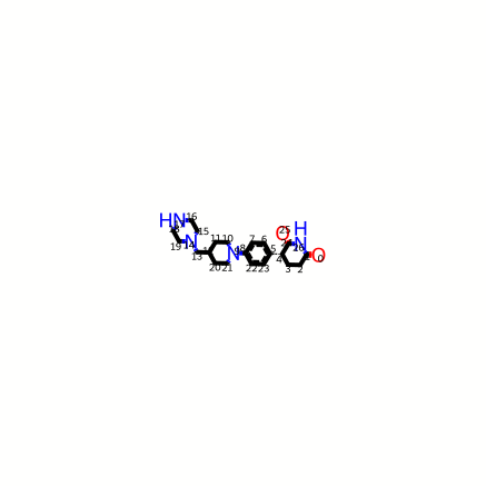 O=C1CC[C@H](c2ccc(N3CCC(CN4CCNCC4)CC3)cc2)C(=O)N1